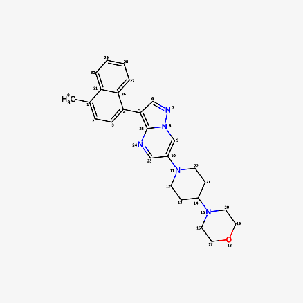 Cc1ccc(-c2cnn3cc(N4CCC(N5CCOCC5)CC4)cnc23)c2ccccc12